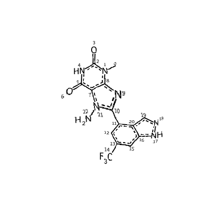 Cn1c(=O)[nH]c(=O)c2c1nc(-c1cc(C(F)(F)F)cc3[nH]ncc13)n2N